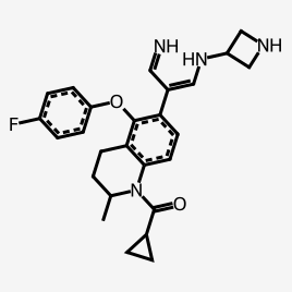 CC1CCc2c(ccc(/C(C=N)=C/NC3CNC3)c2Oc2ccc(F)cc2)N1C(=O)C1CC1